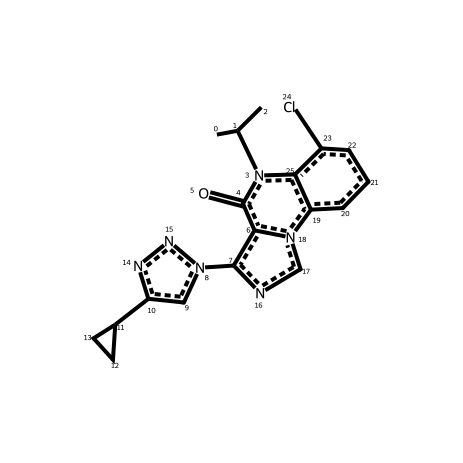 CC(C)n1c(=O)c2c(-n3cc(C4CC4)nn3)ncn2c2cccc(Cl)c21